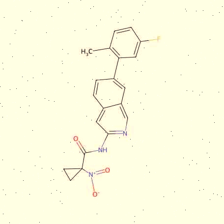 Cc1ccc(F)cc1-c1ccc2cc(NC(=O)C3([N+](=O)[O-])CC3)ncc2c1